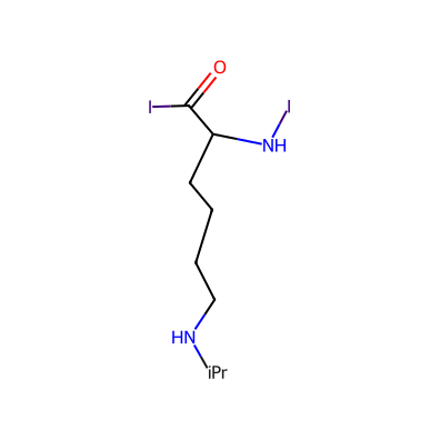 CC(C)NCCCCC(NI)C(=O)I